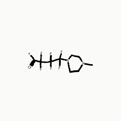 CN1CCN(C(F)(F)C(F)(F)C(F)(F)C(=O)F)CC1